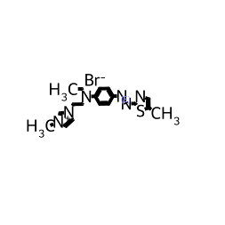 CCN(CCn1cc[n+](C)c1)c1ccc(/N=N/c2ncc(C)s2)cc1.[Br-]